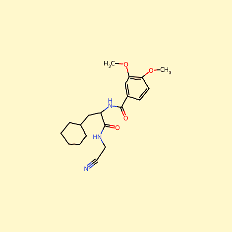 COc1ccc(C(=O)NC(CC2CCCCC2)C(=O)NCC#N)cc1OC